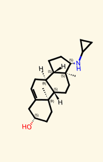 C[C@]12CC[C@H]3[C@@H](CC=C4C[C@@H](O)CC[C@@]43C)[C@@H]1CC[C@@H]2NC1CC1